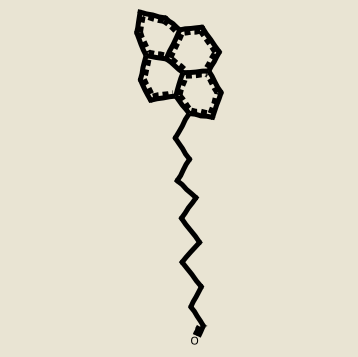 O=[C]CCCCCCCCCc1ccc2ccc3cccc4ccc1c2c34